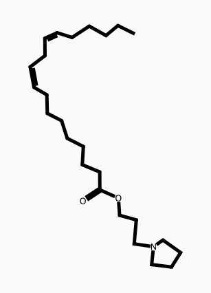 CCCCC/C=C\C/C=C\CCCCCCCC(=O)OCCCN1CCCC1